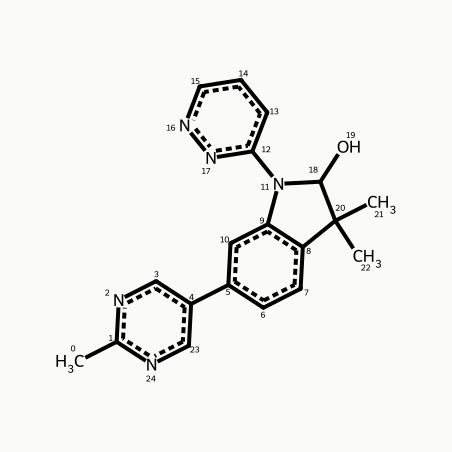 Cc1ncc(-c2ccc3c(c2)N(c2cccnn2)C(O)C3(C)C)cn1